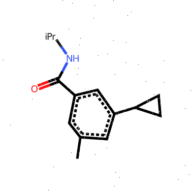 Cc1cc(C(=O)NC(C)C)cc(C2CC2)c1